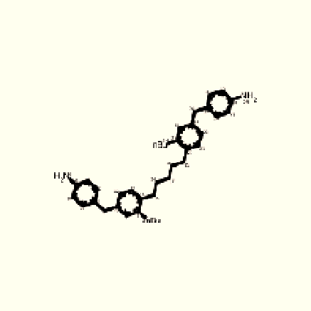 CCCCc1cc(Cc2ccc(N)cc2)ccc1CCCCCc1ccc(Cc2ccc(N)cc2)cc1CCCC